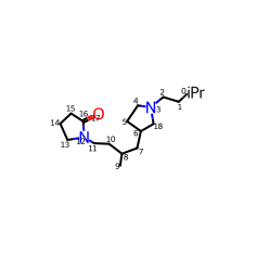 CC(C)CCN1CCC(CC(C)CCN2CCCC2=O)C1